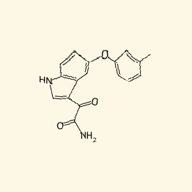 Cc1cccc(Oc2ccc3[nH]cc(C(=O)C(N)=O)c3c2)c1